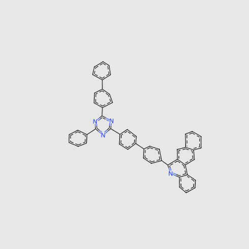 c1ccc(-c2ccc(-c3nc(-c4ccccc4)nc(-c4ccc(-c5ccc(-c6nc7ccccc7c7cc8ccccc8cc67)cc5)cc4)n3)cc2)cc1